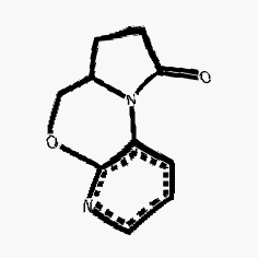 O=C1CCC2COc3ncccc3N12